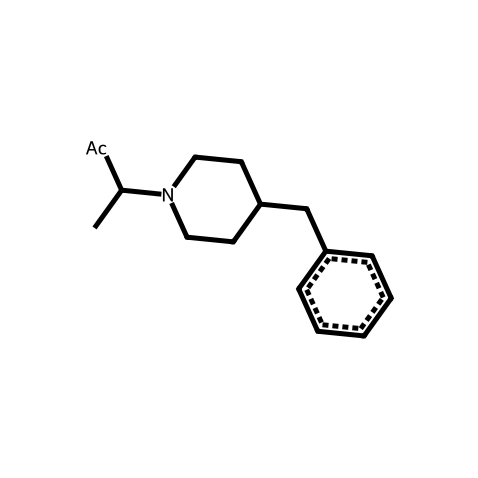 CC(=O)C(C)N1CCC(Cc2ccccc2)CC1